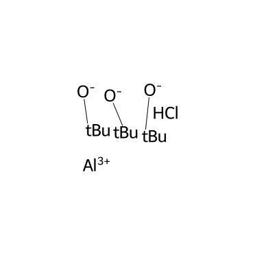 CC(C)(C)[O-].CC(C)(C)[O-].CC(C)(C)[O-].Cl.[Al+3]